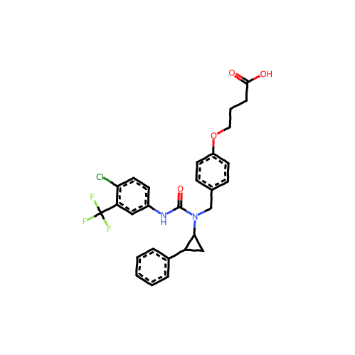 O=C(O)CCCOc1ccc(CN(C(=O)Nc2ccc(Cl)c(C(F)(F)F)c2)C2CC2c2ccccc2)cc1